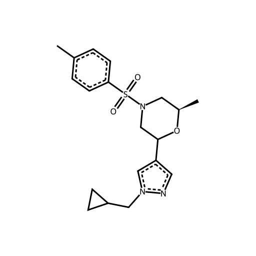 Cc1ccc(S(=O)(=O)N2CC(c3cnn(CC4CC4)c3)O[C@H](C)C2)cc1